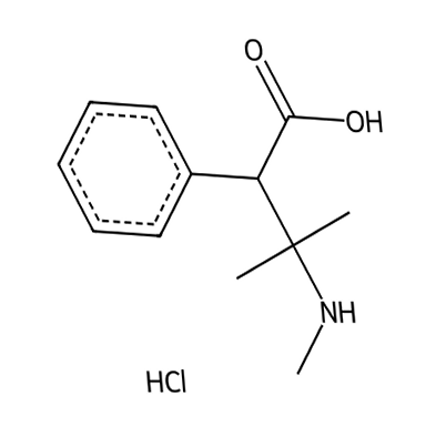 CNC(C)(C)C(C(=O)O)c1ccccc1.Cl